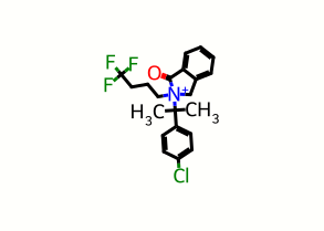 CC(C)(c1ccc(Cl)cc1)[N+]1(CCCC(F)(F)F)Cc2ccccc2C1=O